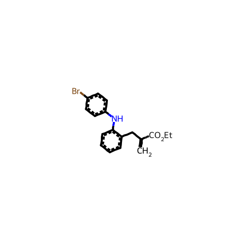 C=C(Cc1ccccc1Nc1ccc(Br)cc1)C(=O)OCC